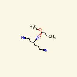 CCCC(=O)OCC.N#CCCCC(C#N)CCC#N